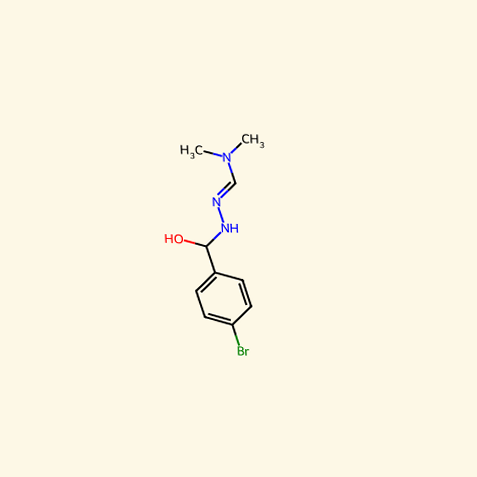 CN(C)/C=N/NC(O)c1ccc(Br)cc1